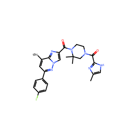 Cc1c[nH]c(C(=O)N2CCN(C(=O)c3cn4nc(-c5ccc(F)cc5)cc(C(C)(C)C)c4n3)C(C)(C)C2)n1